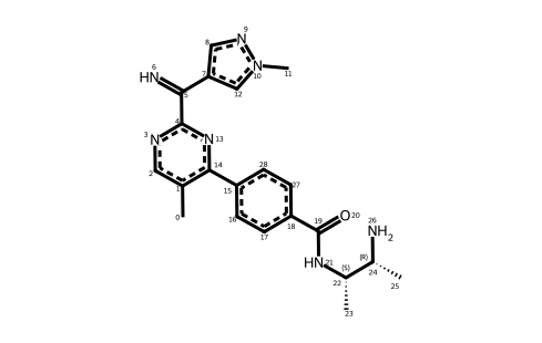 Cc1cnc(C(=N)c2cnn(C)c2)nc1-c1ccc(C(=O)N[C@@H](C)[C@@H](C)N)cc1